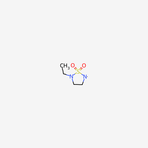 CCN1CC[N]S1(=O)=O